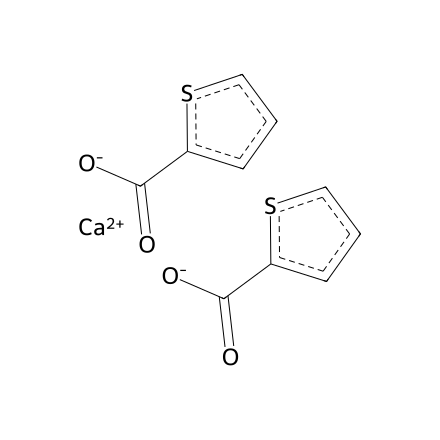 O=C([O-])c1cccs1.O=C([O-])c1cccs1.[Ca+2]